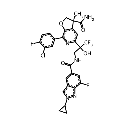 C[C@]1(C(N)=O)COc2c1cc(C(O)(CNC(=O)c1cc(F)c3nn(C4CC4)cc3c1)C(F)(F)F)nc2-c1ccc(F)c(Cl)c1